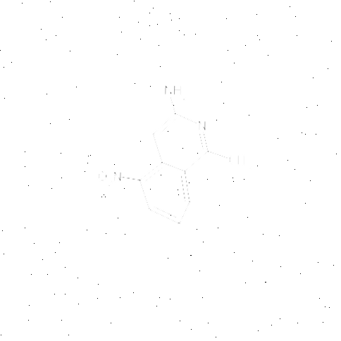 Cc1nc(N)cc2c([N+](=O)[O-])cccc12